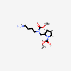 CC(C)(C)OC(=O)N(CCCCN)CC1CCCN1C(=O)OC(C)(C)C